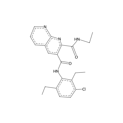 CCNC(=O)c1nc2ncccc2cc1C(=O)Nc1c(CC)ccc(Cl)c1CC